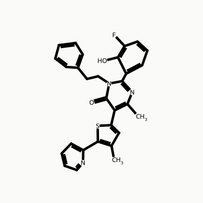 Cc1cc(-c2c(C)nc(-c3cccc(F)c3O)n(CCc3ccccc3)c2=O)sc1-c1ccccn1